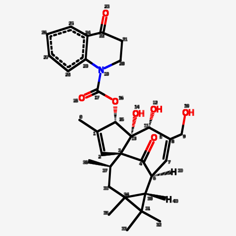 CC1=C[C@]23C(=O)[C@@H](C=C(CO)[C@@H](O)[C@]2(O)[C@H]1OC(=O)N1CCC(=O)c2ccccc21)[C@@H]1C(C)(C)C1(C)C[C@H]3C